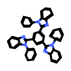 C1=CCCC(n2c(-c3cc(C4=NC5C=CC=CC5N4c4ccccc4)cc(-c4nc5ccccc5n4-c4ccccc4)c3)nc3ccccc32)=C1